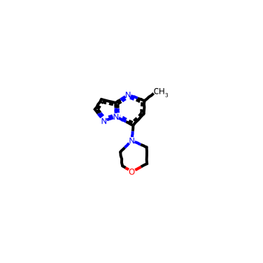 Cc1cc(N2CCOCC2)n2nccc2n1